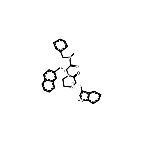 CN(Cc1ccccc1)C(=O)[C@@H](Cc1ccc2ccccc2c1)N1CCN[C@@H](Cc2c[nH]c3ccccc23)C1=O